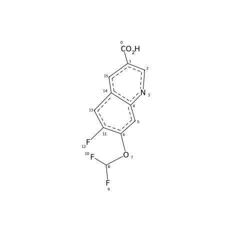 O=C(O)c1cnc2cc(OC(F)F)c(F)cc2c1